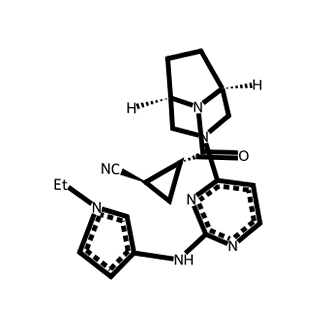 CCn1ccc(Nc2nccc(N3C[C@H]4CC[C@@H](C3)N4C(=O)[C@@H]3C[C@H]3C#N)n2)c1